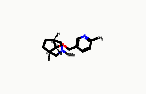 CNN1C[C@H]2CC[C@@H](C1)[C@H]2OCc1ccc(C)nc1